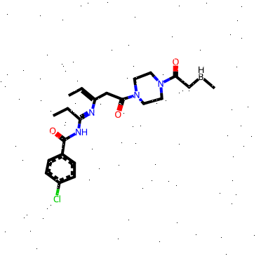 CBCC(=O)N1CCN(C(=O)CC(=C/C)/N=C(\CC)NC(=O)c2ccc(Cl)cc2)CC1